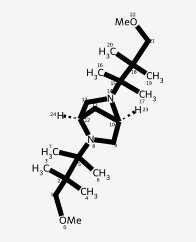 COCC(C)(C)C(C)(C)N1C[C@H]2C[C@@H]1CN2C(C)(C)C(C)(C)COC